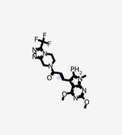 COc1nc(OC)c2c(/C=C/C(=O)N3CCn4c(nnc4C(F)(F)F)C3)c(P)n(C)c2n1